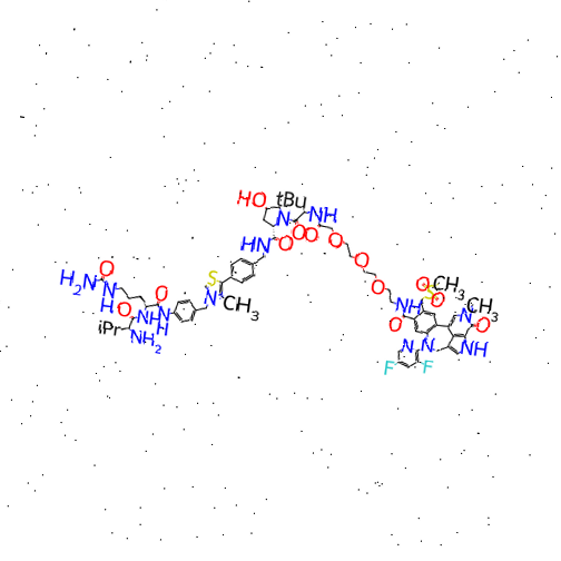 Cc1c(-c2ccc(CNC(=O)[C@@H]3C[C@@H](O)CN3C(=O)[C@@H](NC(=O)COCCOCCOCCNC(=O)c3cc4c(cc3CS(C)(=O)=O)-c3cn(C)c(=O)c5[nH]cc(c35)CN4c3ncc(F)cc3F)C(C)(C)C)cc2)sc[n+]1Cc1ccc(NC(=O)[C@H](CCCNC(N)=O)NC(=O)[C@@H](N)C(C)C)cc1